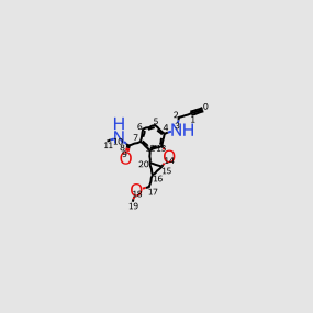 C#CCNc1ccc(C(=O)NC)c2c1OC1C(COC)C21